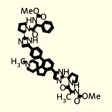 COC(=O)N[C@@H](C)C(=O)N1CCC[C@H]1c1ncc(-c2ccc(-c3ccc(-c4cnc([C@@H]5CCCN5C(=O)[C@@H](NC(=O)OC)c5ccccc5)[nH]4)cc3)c3c2CCC32CCN(C)CC2)[nH]1